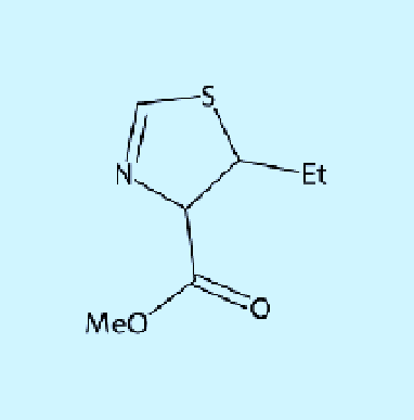 CCC1SC=NC1C(=O)OC